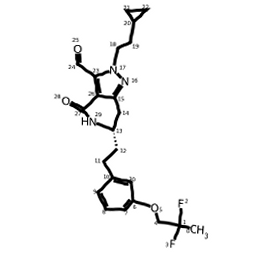 CC(F)(F)COc1cccc(CC[C@H]2Cc3nn(CCC4CC4)c(C=O)c3C(=O)N2)c1